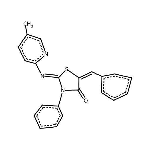 Cc1ccc(N=C2SC(=Cc3ccccc3)C(=O)N2c2ccccc2)nc1